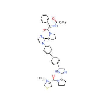 COC(=O)N[C@@H](C(=O)N1CCC[C@H]1c1nccn1-c1ccc(-c2ccc(-c3cnc([C@@H]4CCCN4C(=O)[C@@H]4CSCN4C(=O)O)[nH]3)cc2)cc1)c1ccccc1